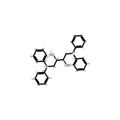 O[C@H](CP(c1ccccc1)c1ccccc1)[C@H](O)CP(c1ccccc1)c1ccccc1